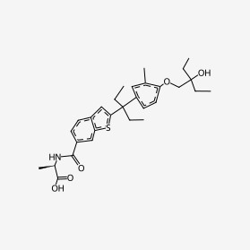 CCC(O)(CC)COc1ccc(C(CC)(CC)c2cc3ccc(C(=O)N[C@H](C)C(=O)O)cc3s2)cc1C